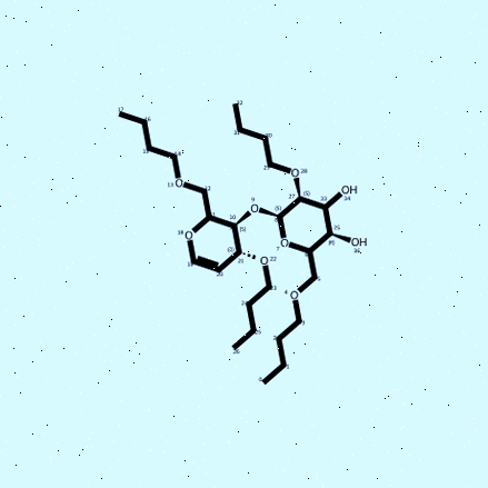 CCCCOCC1O[C@@H](O[C@@H]2C(COCCCC)OC=C[C@H]2OCCCC)[C@@H](OCCCC)C(O)[C@H]1O